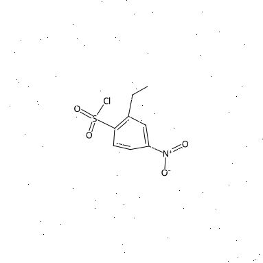 CCc1cc([N+](=O)[O-])ccc1S(=O)(=O)Cl